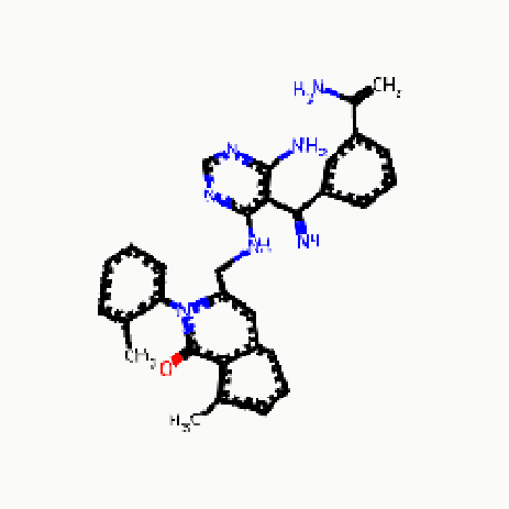 C=C(N)c1cccc(C(=N)c2c(N)ncnc2NCc2cc3cccc(C)c3c(=O)n2-c2ccccc2C)c1